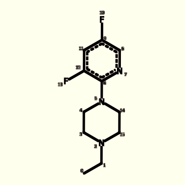 CCN1CCN(c2ncc(F)cc2F)CC1